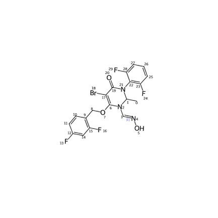 CC1N(/C=N/O)C(OCc2ccc(F)cc2F)=C(Br)C(=O)N1c1c(F)cccc1F